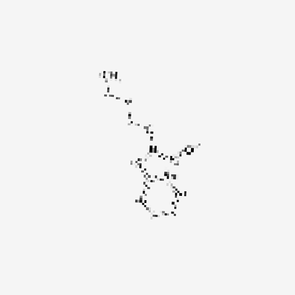 CCCCOn1sc2ccccc2c1=O